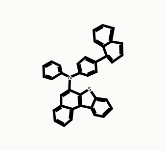 c1ccc(N(c2ccc(-c3cccc4ccccc34)cc2)c2cc3ccccc3c3c2sc2ccccc23)cc1